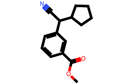 COC(=O)c1cccc(C(C#N)C2CCCC2)c1